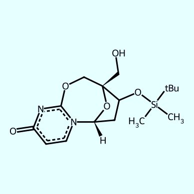 CC(C)(C)[Si](C)(C)OC1C[C@H]2O[C@]1(CO)COc1nc(=O)ccn12